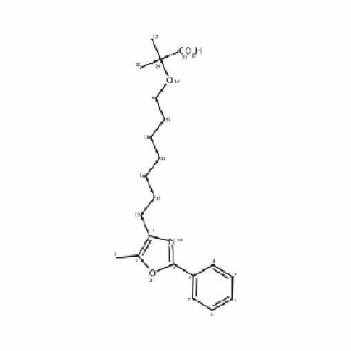 Cc1oc(-c2ccccc2)nc1CCCCCCCOC(C)(C)C(=O)O